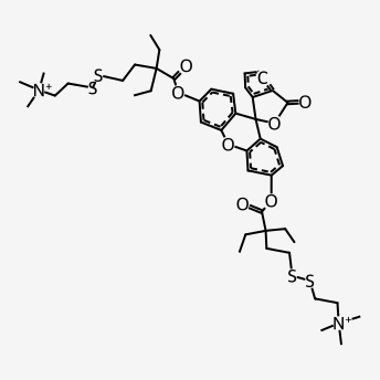 CCC(CC)(CCSSCC[N+](C)(C)C)C(=O)Oc1ccc2c(c1)Oc1cc(OC(=O)C(CC)(CC)CCSSCC[N+](C)(C)C)ccc1C21OC(=O)c2ccccc21